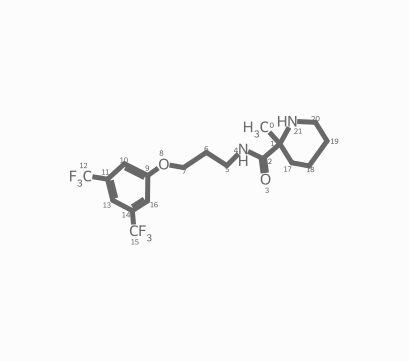 CC1(C(=O)NCCCOc2cc(C(F)(F)F)cc(C(F)(F)F)c2)CCCCN1